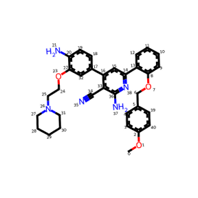 COc1ccc(COc2ccccc2-c2cc(-c3ccc(N)c(OCCN4CCCCC4)c3)c(C#N)c(N)n2)cc1